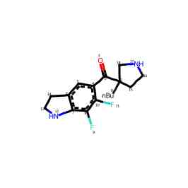 CCCCC1(C(=O)c2cc3c(c(F)c2F)NCC3)CCNC1